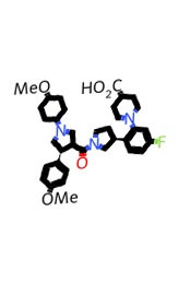 COc1ccc([C@@H]2CN(C3CCC(OC)CC3)CC2C(=O)N2CC[C@@H](c3ccc(F)cc3N3CCC(C(=O)O)CC3)C2)cc1